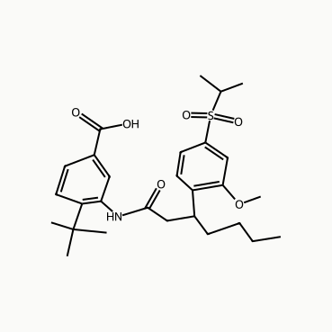 CCCCC(CC(=O)Nc1cc(C(=O)O)ccc1C(C)(C)C)c1ccc(S(=O)(=O)C(C)C)cc1OC